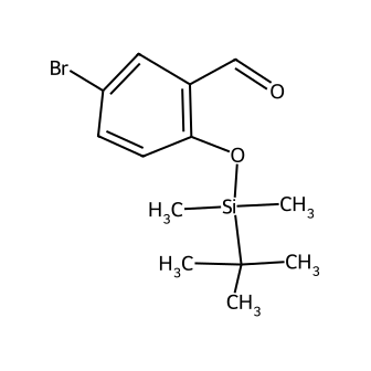 CC(C)(C)[Si](C)(C)Oc1ccc(Br)cc1C=O